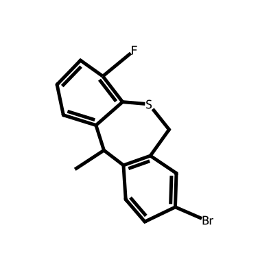 CC1c2ccc(Br)cc2CSc2c(F)cccc21